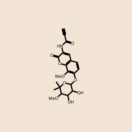 C#CC(=O)Nc1cc2ccc(OC3OC(C)(C)C(OC)C(O)C3O)c(OC)c2oc1=O